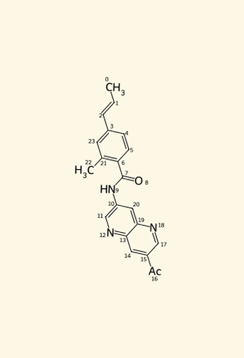 C/C=C/c1ccc(C(=O)Nc2cnc3cc(C(C)=O)cnc3c2)c(C)c1